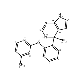 Cc1ccnc(Oc2ccccc2C2(N)NC=Nc3[nH]ccc32)n1